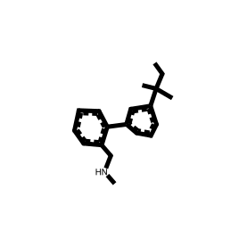 CCC(C)(C)c1cccc(-c2ccccc2CNC)c1